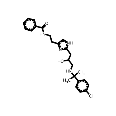 CC(C)(NCC(O)Cc1nc(CCNC(=O)c2ccccc2)c[nH]1)c1ccc(Cl)cc1